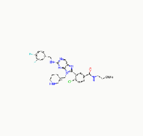 COCCNC(=O)c1ccc(Cl)c(-c2nc3cnc(NCc4ccc(F)c(F)c4)nc3n2C[C@@H]2CCCNC2)c1